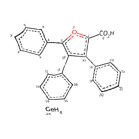 O=C(O)c1oc(-c2ccccc2)c(-c2ccccc2)c1-c1ccccc1.[GeH4]